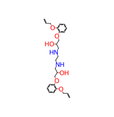 C=CCOc1ccccc1OCC(O)CNCCNCC(O)COc1ccccc1OCC=C